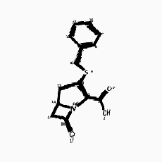 O=C(O)C1=C(SCc2ccccc2)CC2CC(=O)N12